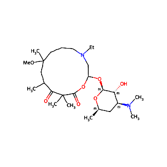 CCN1CCCC(C)(OC)CC(C)C(=O)C(C)(C)C(=O)OC(O[C@@H]2O[C@H](C)C[C@H](N(C)C)[C@H]2O)C1